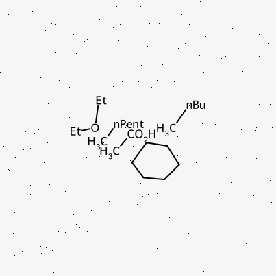 C1CCCCC1.CC(=O)O.CCCCC.CCCCCC.CCOCC